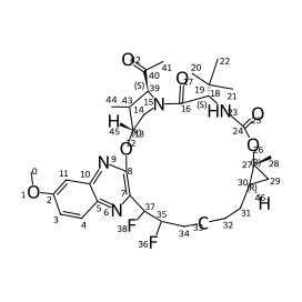 COc1ccc2nc3c(nc2c1)O[C@H]1CN(C(=O)[C@H](C(C)(C)C)NC(=O)O[C@]2(C)C[C@H]2CCCCC(F)C3F)[C@H](C(C)=O)C1C